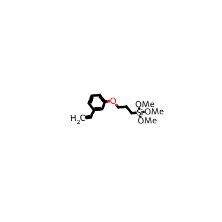 C=Cc1cccc(OCCC[Si](OC)(OC)OC)c1